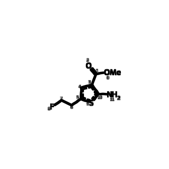 COC(=O)c1cc(CCF)sc1N